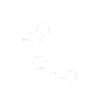 Cc1cc(OCc2c(C(C)C)cnn2-c2c(Cl)cccc2Cl)ccc1CNCc1ccc(C(=O)O)[nH]1